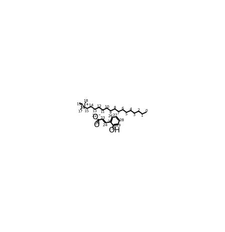 CCCCCCCCCCCCCCCC[N+](C)(C)C.O=C([O-])/C=C/c1ccccc1O